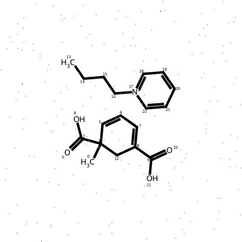 CC1(C(=O)O)C=CC=C(C(=O)O)C1.CCCC[n+]1ccccc1